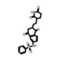 O=C1CCC(CCC2CC(=O)c3cc(NS(=O)(=O)c4ccccc4)ccc3C2=O)C(=O)N1